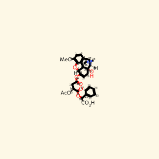 COc1ccc2c3c1O[C@@H]1C(OC(=O)C[C@H](OC(C)=O)C(=O)O[C@H](C(=O)O)c4ccccc4)=CC[C@]4(O)[C@H](C2)N(C)CC[C@@]314